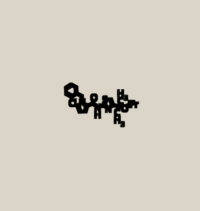 CC(C)OC(C)(C)c1csc(NC(=O)c2cccn2Cc2ccccc2Cl)n1